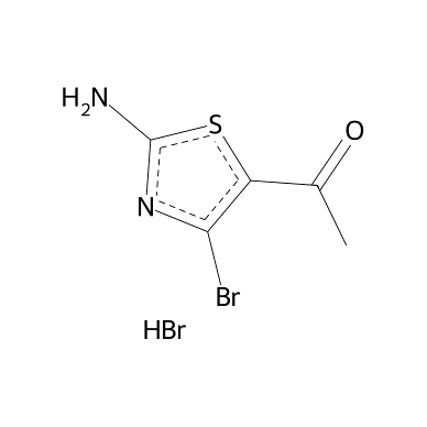 Br.CC(=O)c1sc(N)nc1Br